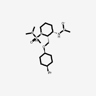 CC(C)[C@H]1CC[C@@H](OC[C@H]2[C@@H](N[S+](C)[O-])CCCN2[SH](C)(=O)N(C)C)CC1